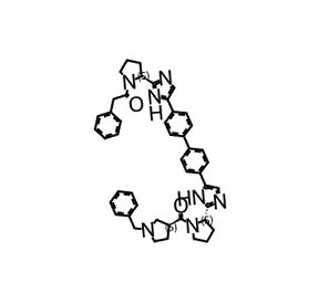 O=C(Cc1ccccc1)N1CCC[C@H]1c1ncc(-c2ccc(-c3ccc(-c4cnc([C@@H]5CCCN5C(=O)[C@H]5CCN(Cc6ccccc6)C5)[nH]4)cc3)cc2)[nH]1